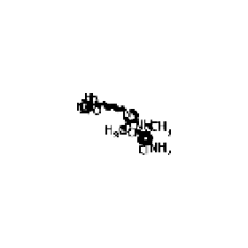 COc1cc(N)c(Cl)cc1C(=O)N[C@H]1CCN(CCCCCC(=O)O[C@@H]2CN3CCC2CC3)C[C@H]1OC